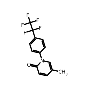 Cc1ccc(=O)n(-c2ccc(C(F)(F)C(F)(F)F)cc2)c1